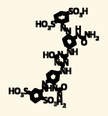 NC(=O)Nc1cc(Nc2nc(O)nc(Nc3ccc(/N=N/c4cc(S(=O)(=O)O)ccc4S(=O)(=O)O)c(NC(N)=O)c3)n2)ccc1/N=N/c1cc(S(=O)(=O)O)ccc1S(=O)(=O)O